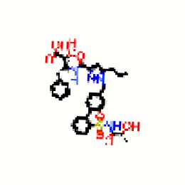 CCCc1cc(C(=O)N[C@H](Cc2ccccc2)[C@@H](O)C(=O)O)nn1Cc1ccc(-c2ccccc2S(=O)(=O)NC(=O)[C@@H](C)O)cc1